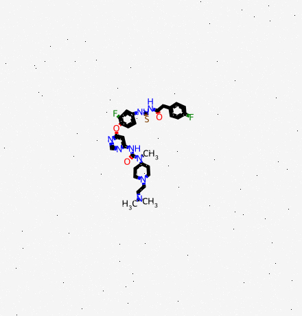 CN(C)CCN1CCC(N(C)C(=O)Nc2cc(Oc3ccc(NC(=S)NC(=O)Cc4ccc(F)cc4)cc3F)ncn2)CC1